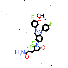 COc1cc(N2Cc3cc(N4C(=O)CC(CCC(N)=O)C4(F)F)ccc3N2c2ccc(F)cc2)ccc1F